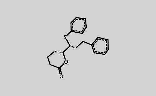 O=C1CCC[C@H]([C@@H](CCc2ccccc2)Sc2ccccc2)O1